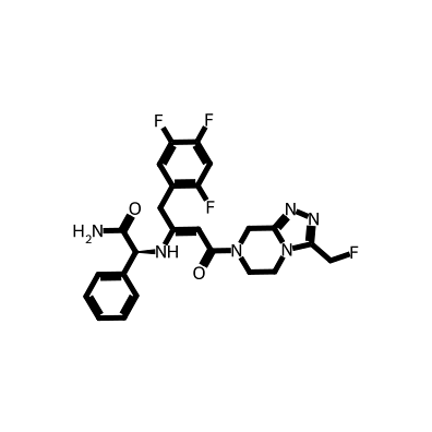 NC(=O)[C@@H](N/C(=C\C(=O)N1CCn2c(CF)nnc2C1)Cc1cc(F)c(F)cc1F)c1ccccc1